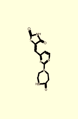 O=C1CCN(c2nccc(C=C3SC(=O)NC3=O)n2)CCN1